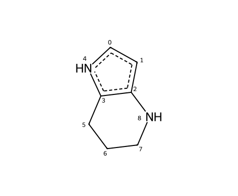 c1cc2c([nH]1)CCCN2